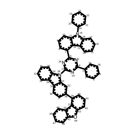 c1ccc(-c2nc(-c3cccc4c3c3ccccc3n4-c3ccccc3)nc(-n3c4ccccc4c4ccc(-c5cccc6oc7ccccc7c56)cc43)n2)cc1